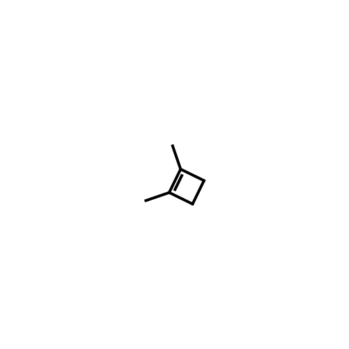 CC1=C(C)CC1